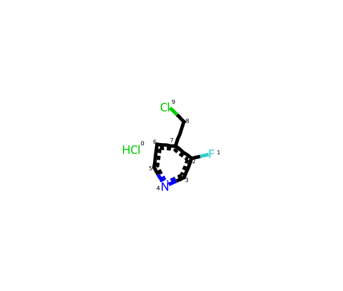 Cl.Fc1cnccc1CCl